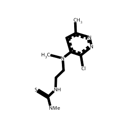 CNC(=S)NCCN(C)c1cc(C)nnc1Cl